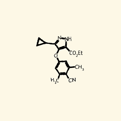 CCOC(=O)c1[nH]nc(C2CC2)c1Oc1cc(C)c(C#N)c(C)c1